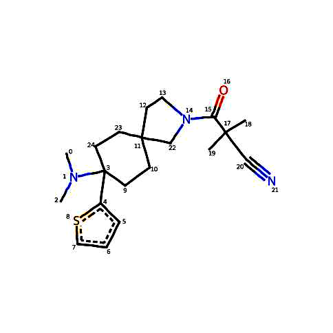 CN(C)C1(c2cccs2)CCC2(CCN(C(=O)C(C)(C)C#N)C2)CC1